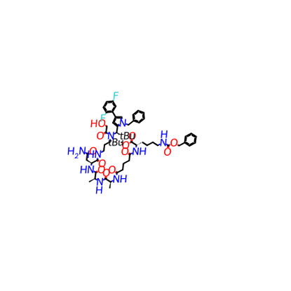 C[C@H](NC(=O)CCCC(=O)N[C@@H](CCCCNC(=O)OCc1ccccc1)C(=O)OC(C)(C)C)C(=O)N[C@@H](C)C(=O)N[C@@H](CC(N)=O)C(=O)NCCCN(C(=O)CO)[C@@H](c1cc(-c2cc(F)ccc2F)cn1Cc1ccccc1)C(C)(C)C